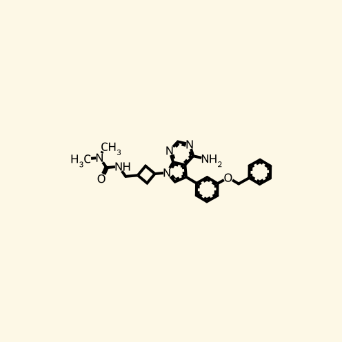 CN(C)C(=O)NCC1CC(n2cc(-c3cccc(OCc4ccccc4)c3)c3c(N)ncnc32)C1